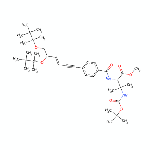 COC(=O)[C@@H](NC(=O)c1ccc(C#CC=CC(CO[Si](C)(C)C(C)(C)C)O[Si](C)(C)C(C)(C)C)cc1)C(C)(C)NC(=O)OC(C)(C)C